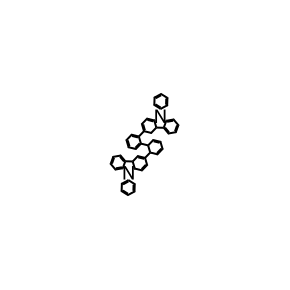 C1=CC(C2=CC3c4ccccc4N(c4ccccc4)C3C=C2)C(c2ccccc2C2=CC=C3C(C2)c2ccccc2N3c2ccccc2)C=C1